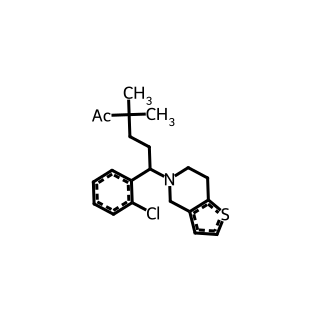 CC(=O)C(C)(C)CCC(c1ccccc1Cl)N1CCc2sccc2C1